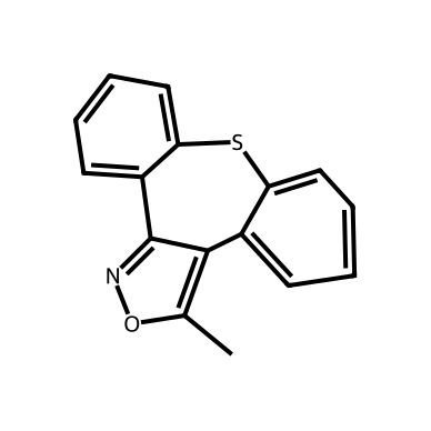 Cc1onc2c1-c1ccccc1Sc1ccccc1-2